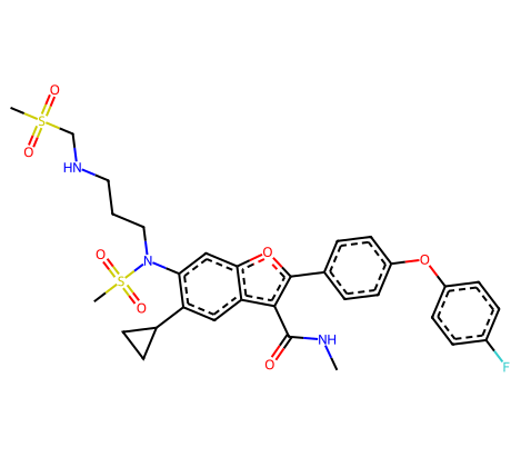 CNC(=O)c1c(-c2ccc(Oc3ccc(F)cc3)cc2)oc2cc(N(CCCNCS(C)(=O)=O)S(C)(=O)=O)c(C3CC3)cc12